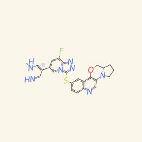 CN/C=C(\C=N)c1cc(F)c2nnc(Sc3ccc4ncc5c(c4c3)OCC3CCCN53)n2c1